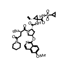 C=C[C@@H]1C[C@]1(NC(=O)[C@@H]1C[C@@H](Oc2nccc3cc(OC)ccc23)CN1C(=O)[C@@H](CC(=O)N1CCCCC1)C(C)(C)C)C(=O)NS(=O)(=O)C1CC1